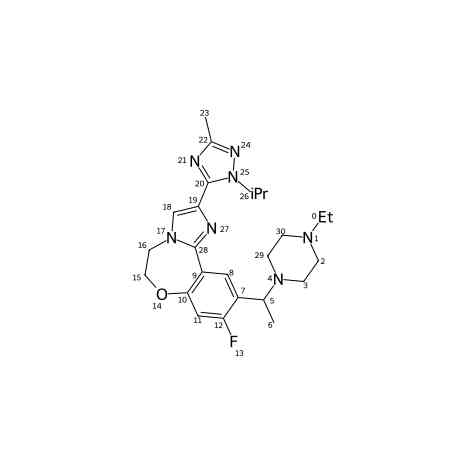 CCN1CCN(C(C)c2cc3c(cc2F)OCCn2cc(-c4nc(C)nn4C(C)C)nc2-3)CC1